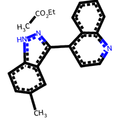 CCOC(C)=O.Cc1ccc2[nH]nc(-c3ccnc4ccccc34)c2c1